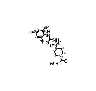 COC(=O)N1CCC(S(=O)(=O)NC(=O)Nc2c(C(C)C)cc(Cl)cc2C(C)C)CC1